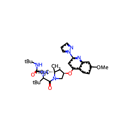 COc1ccc2c(O[C@H]3CN(C(=O)C(NC(=O)NC(C)(C)C)C(C)(C)C)[C@](C)(C(=O)O)C3)cc(-n3cccn3)nc2c1